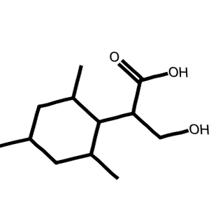 CC1CC(C)C(C(CO)C(=O)O)C(C)C1